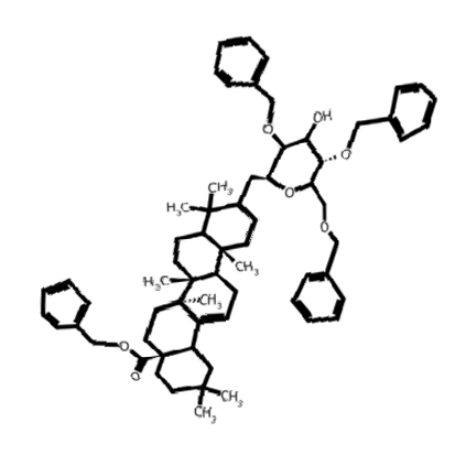 CC1(C)CC[C@]2(C(=O)OCc3ccccc3)CC[C@]3(C)C(=CCC4[C@@]5(C)CCC(C[C@@H]6OC(COCc7ccccc7)[C@@H](OCc7ccccc7)C(O)C6OCc6ccccc6)C(C)(C)C5CC[C@]43C)C2C1